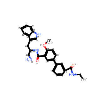 CC(C)CNC(=O)c1cccc(-c2ccc(OC(F)(F)F)c(C(=O)NC(CN)Cc3c[nH]c4ccccc34)c2)c1